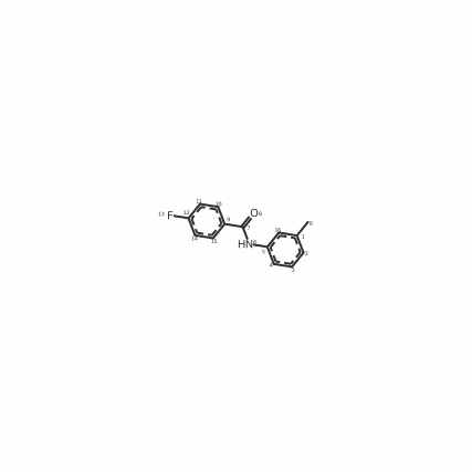 Cc1cccc(NC(=O)c2ccc(F)cc2)c1